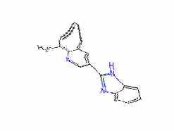 Cc1cccc2cc(-c3nc4ccccc4[nH]3)cnc12